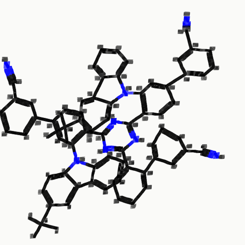 CC(C)(C)c1ccc2c(c1)c1ccccc1n2-c1cc(-c2cccc(C#N)c2)ccc1-c1nc(-c2ccccc2-c2cccc(C#N)c2)nc(-c2ccc(-c3cccc(C#N)c3)cc2-n2c3ccccc3c3cc(C(C)(C)C)ccc32)n1